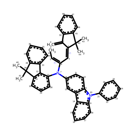 C=C1/C(=C\C(=C/C)N(c2ccc3c(c2)c2ccccc2n3-c2ccccc2)c2cccc3c2-c2ccccc2C3(C)C)C(C)(C)c2ccccc21